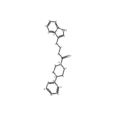 O=C(CCCc1c[nH]c2ccccc12)N1CCC(c2ccccc2)CC1